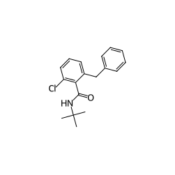 CC(C)(C)NC(=O)c1c(Cl)cccc1Cc1ccccc1